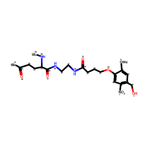 COc1cc(CO)c([N+](=O)[O-])cc1OCCCC(=O)NCCNC(=O)C(CCC(=O)C(C)(C)C)NC(C)(C)C